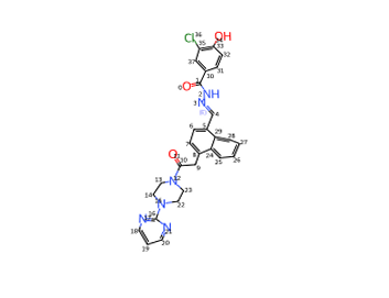 O=C(N/N=C/c1ccc(CC(=O)N2CCN(c3ncccn3)CC2)c2ccccc12)c1ccc(O)c(Cl)c1